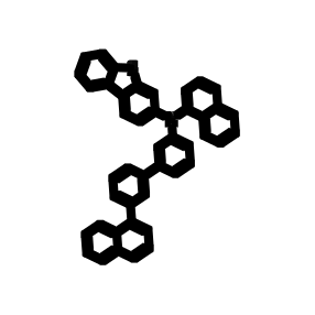 c1cc(-c2cccc(N(c3ccc4c(c3)sc3ccccc34)c3cccc4ccccc34)c2)cc(-c2cccc3ccccc23)c1